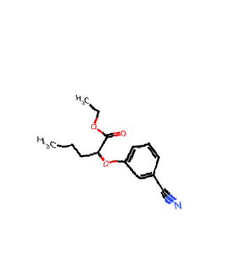 CCCC(Oc1cccc(C#N)c1)C(=O)OCC